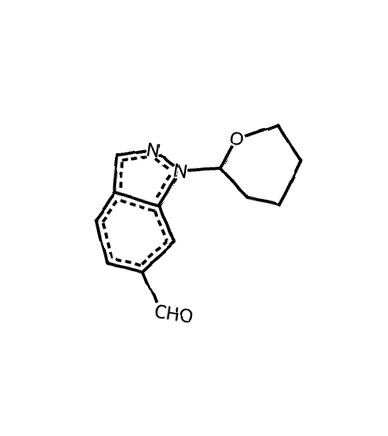 O=Cc1ccc2cnn(C3CCCCO3)c2c1